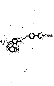 COc1ncc(-c2ccc(CCNC(=O)c3ccc4c5c3O[C@H]3C(=O)CC[C@@]6(O)[C@@H](C4)N(C)CC[C@]536)cc2)cn1